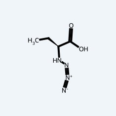 CC[C@H](NN=[N+]=[N-])C(=O)O